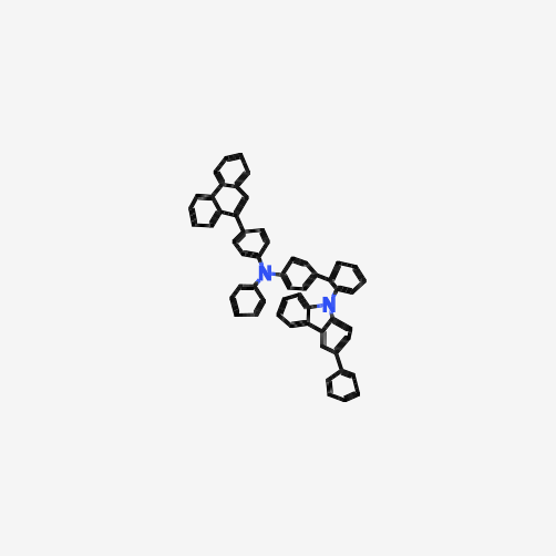 c1ccc(-c2ccc3c(c2)c2ccccc2n3-c2ccccc2-c2ccc(N(c3ccccc3)c3ccc(-c4cc5ccccc5c5ccccc45)cc3)cc2)cc1